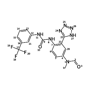 CN(C=O)c1ccc(NC(=O)Nc2cccc(C(F)(F)F)c2)c(-c2nnn[nH]2)c1